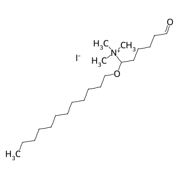 CCCCCCCCCCCCOC(CCCCC=O)[N+](C)(C)C.[I-]